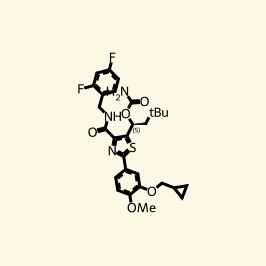 COc1ccc(-c2nc(C(=O)NCc3ccc(F)cc3F)c([C@H](CC(C)(C)C)OC(N)=O)s2)cc1OCC1CC1